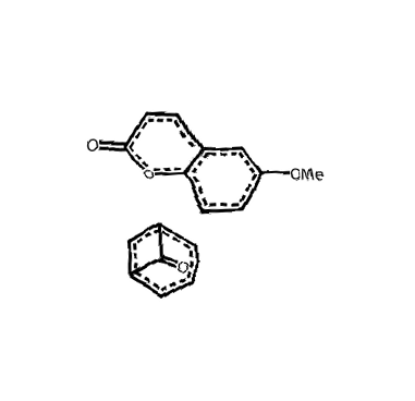 COc1ccc2oc(=O)ccc2c1.O=C1c2cccc1c2